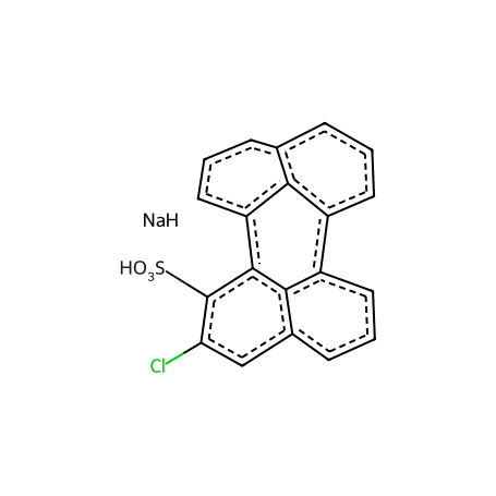 O=S(=O)(O)c1c(Cl)cc2cccc3c4cccc5cccc(c1c23)c54.[NaH]